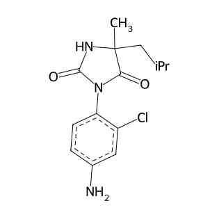 CC(C)CC1(C)NC(=O)N(c2ccc(N)cc2Cl)C1=O